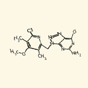 COc1c(C)c(Cl)nc(Cn2nnc3c(Cl)nc(N)nc32)c1C